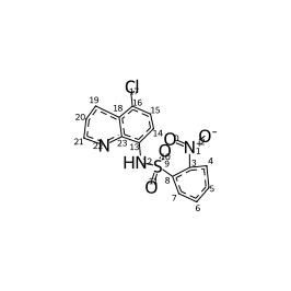 O=[N+]([O-])c1ccccc1S(=O)(=O)Nc1ccc(Cl)c2cccnc12